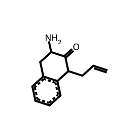 C=CCC1C(=O)C(N)Cc2ccccc21